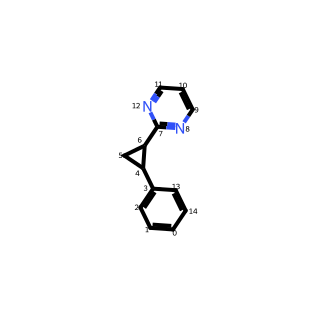 c1ccc(C2CC2c2ncccn2)cc1